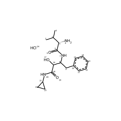 CC(C)[C@H](N)C(=O)NC(Cc1ccccc1)C(O)C(=O)NC1CC1.Cl